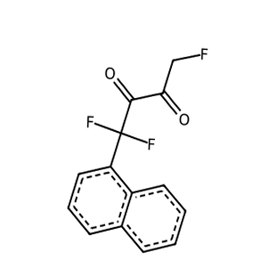 O=C(CF)C(=O)C(F)(F)c1cccc2ccccc12